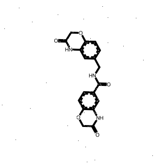 O=C1COc2ccc(CNC(=O)c3ccc4c(c3)NC(=O)CO4)cc2N1